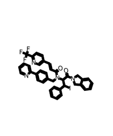 O=C(C(C(I)c1ccccc1)N(Cc1ccc(-c2ccccn2)cc1)C(=O)C=Cc1ccc(C(F)(F)F)nc1)N1Cc2ccccc2C1